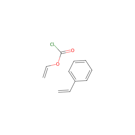 C=COC(=O)Cl.C=Cc1ccccc1